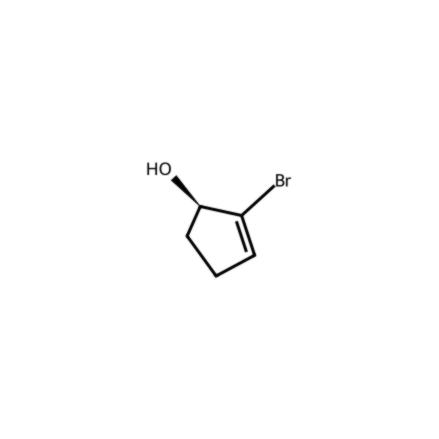 O[C@@H]1CCC=C1Br